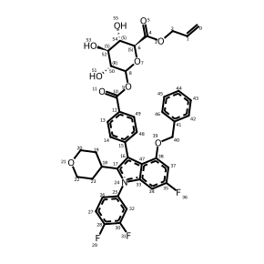 C=CCOC(=O)[C@H]1OC(OC(=O)c2ccc(-c3c(C4CCOCC4)n(-c4ccc(F)c(F)c4)c4cc(F)cc(OCc5ccccc5)c34)cc2)[C@H](O)[C@@H](O)[C@@H]1O